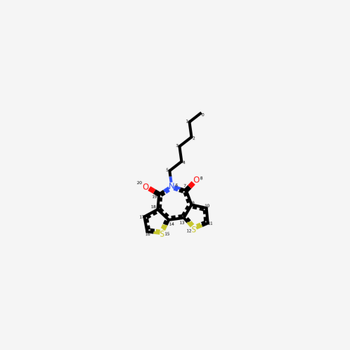 CCCCCCn1c(=O)c2ccsc2c2sccc2c1=O